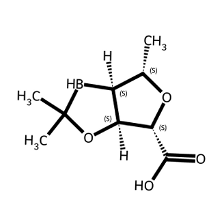 C[C@@H]1O[C@H](C(=O)O)[C@H]2OC(C)(C)B[C@H]21